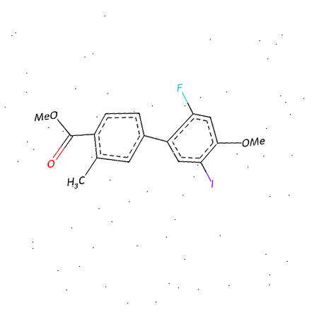 COC(=O)c1ccc(-c2cc(I)c(OC)cc2F)cc1C